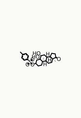 Cc1ccc(S(=O)(=O)OC2CC[C@]3(C)[C@@H]4CC[C@]5(C)C(=O)CC[C@H]5[C@@H]4CC(O)C3(O)C2)cc1